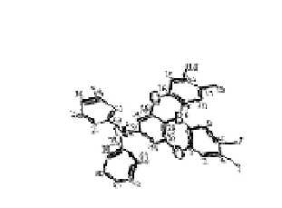 Cc1cc2c(cc1C)B1c3cc(C)c(C)cc3Oc3cc(N(c4ccccc4)c4ccccc4)cc(c31)O2